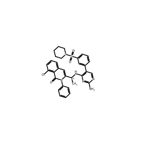 C[C@H](Nc1nc(N)ncc1-c1cccc(S(=O)(=O)N2CCCCC2)c1)c1cc2cccc(Cl)c2c(=O)n1-c1ccccc1